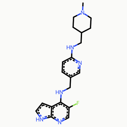 CN1CCC(CNc2ccc(CNc3c(F)cnc4[nH]ccc34)cn2)CC1